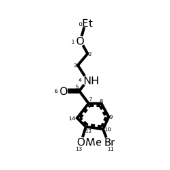 CCOCCNC(=O)c1ccc(Br)c(OC)c1